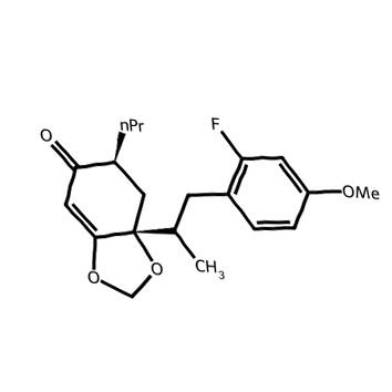 CCC[C@H]1C[C@]2(C(C)Cc3ccc(OC)cc3F)OCOC2=CC1=O